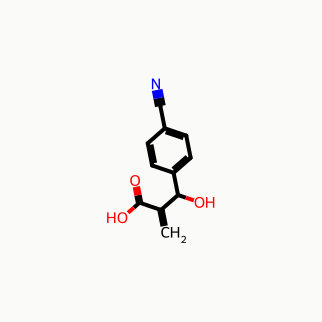 C=C(C(=O)O)C(O)c1ccc(C#N)cc1